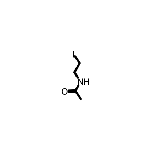 CC(=O)NCCI